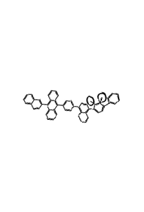 c1ccc2cc(-c3c4ccccc4c(-c4ccc(-c5cc6oc7c(ccc8c9ccccc9oc87)c6c6ccccc56)cc4)c4ccccc34)ccc2c1